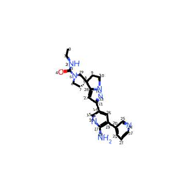 CCNC(=O)N1CC[C@@]2(CCn3nc(-c4cnc(N)c(-c5cccnc5)c4)cc32)C1